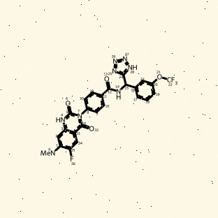 CNc1cc2[nH]c(=O)n(-c3ccc(C(=O)NC(c4cccc(OC(F)(F)F)c4)c4nnn[nH]4)cc3)c(=O)c2cc1F